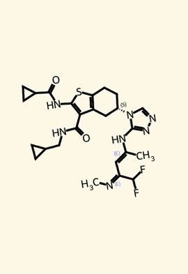 C/N=C(\C=C(/C)Nc1nncn1[C@H]1CCc2sc(NC(=O)C3CC3)c(C(=O)NCC3CC3)c2C1)C(F)F